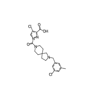 Cc1cc(Cl)cc(CN2CCC3(CCN(C(=O)n4cc(Cl)c(C(=O)O)n4)CC3)C2)c1